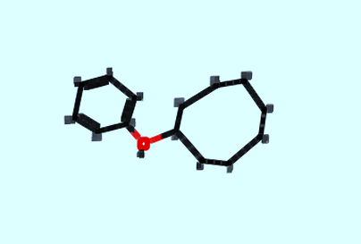 [c]1ccc(OC2CCCCCCC2)cc1